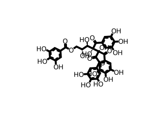 O=C(OC[C@@H](O)[C@@H](O)[C@@](O)(C(=O)c1cc(O)c(O)c(O)c1)[C@@](O)(C(=O)C(=O)c1cc(O)c(O)c(O)c1)C(=O)c1cc(O)c(O)c(O)c1)c1cc(O)c(O)c(O)c1